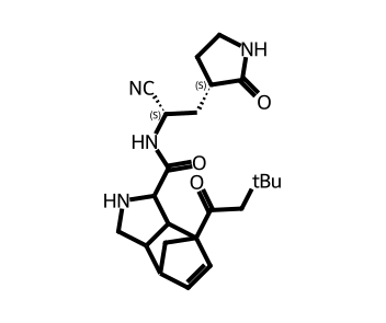 CC(C)(C)CC(=O)C12C=CC(C1)C1CNC(C(=O)N[C@H](C#N)C[C@@H]3CCNC3=O)C12